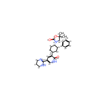 CC1(C)OC(=O)N([C@H]2CC[C@H](c3cc(C4=NCCCN4)c[nH]c3=O)CC2)[C@H]1c1ccccc1